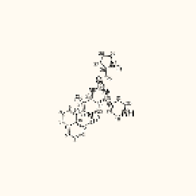 C#Cc1cccc2cccc(-c3ncc4c(N5CCNCC5)nc(OCC5CCCN5C)nc4c3F)c12